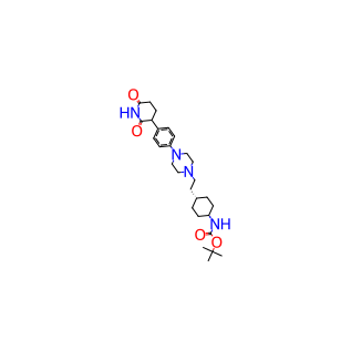 CC(C)(C)OC(=O)N[C@H]1CC[C@H](CCN2CCN(c3ccc(C4CCC(=O)NC4=O)cc3)CC2)CC1